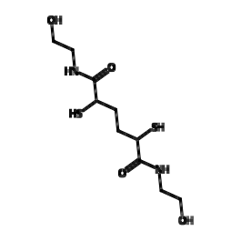 O=C(NCCO)C(S)CCC(S)C(=O)NCCO